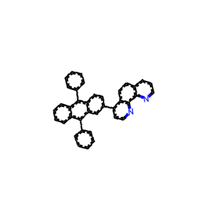 c1ccc(-c2c3ccccc3c(-c3ccccc3)c3cc(-c4ccnc5c4ccc4cccnc45)ccc23)cc1